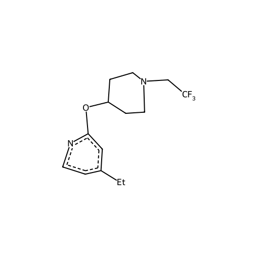 CCc1ccnc(OC2CCN(CC(F)(F)F)CC2)c1